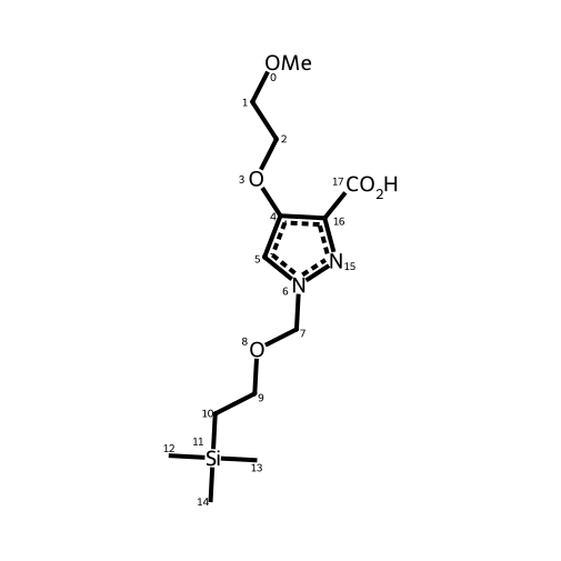 COCCOc1cn(COCC[Si](C)(C)C)nc1C(=O)O